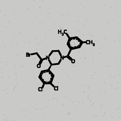 Cc1cc(C)cc(C(=O)N2CCN(C(=O)CBr)[C@H](c3ccc(Cl)c(Cl)c3)C2)c1